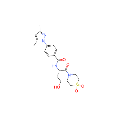 Cc1cc(C)n(-c2ccc(C(=O)N[C@@H](CCO)C(=O)N3CCS(=O)(=O)CC3)cc2)n1